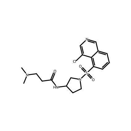 CN(C)CCC(=O)NC1CCN(S(=O)(=O)c2cccc3cncc(Cl)c23)C1